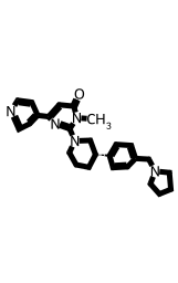 Cn1c(N2CCC[C@@H](c3ccc(CN4CCCC4)cc3)C2)nc(-c2ccncc2)cc1=O